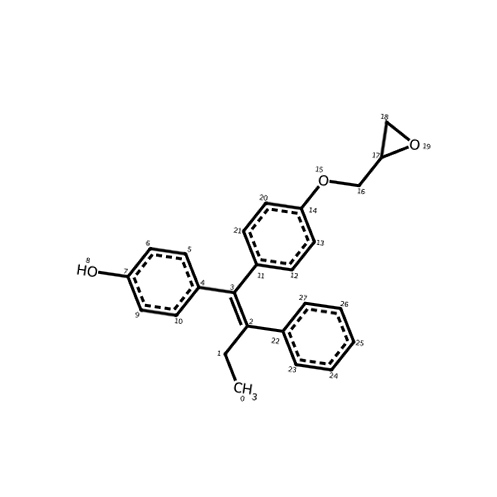 CC/C(=C(\c1ccc(O)cc1)c1ccc(OCC2CO2)cc1)c1ccccc1